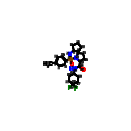 Cc1ccc(S(=O)(=NC2CCCC2)N2CCCC2C(=O)NC2CCC(F)(F)CC2)cc1